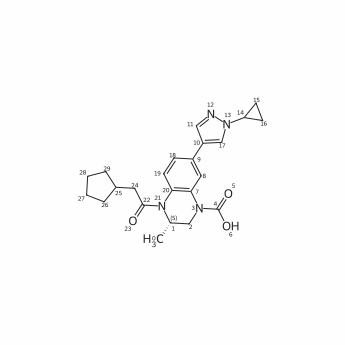 C[C@H]1CN(C(=O)O)c2cc(-c3cnn(C4CC4)c3)ccc2N1C(=O)CC1CCCC1